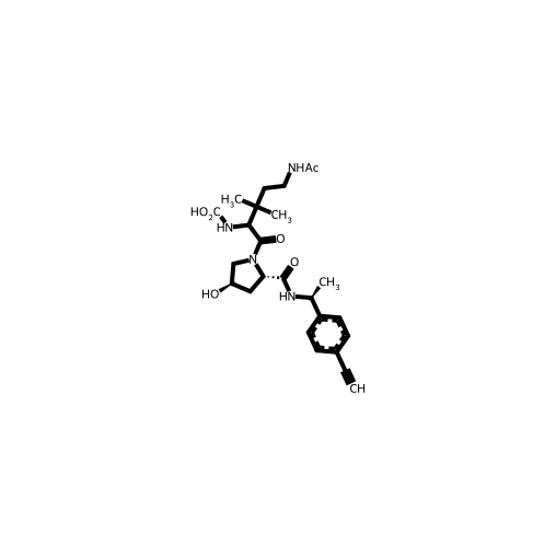 C#Cc1ccc([C@H](C)NC(=O)[C@@H]2C[C@@H](O)CN2C(=O)C(NC(=O)O)C(C)(C)CCNC(C)=O)cc1